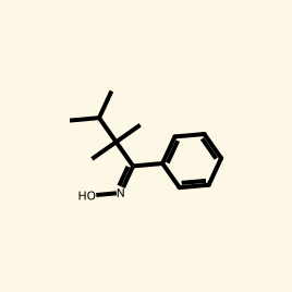 CC(C)C(C)(C)C(=NO)c1ccccc1